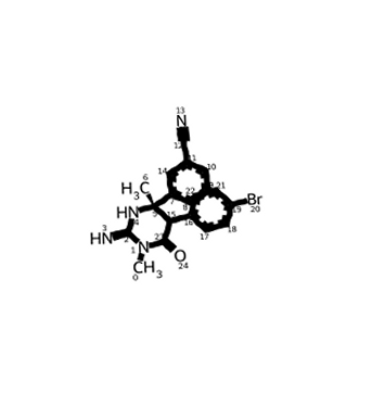 CN1C(=N)N[C@](C)(c2cccc(C#N)c2)C(c2ccc(Br)cc2)C1=O